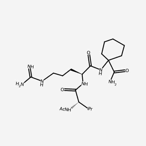 CC(=O)N[C@H](C(=O)N[C@@H](CCCNC(=N)N)C(=O)NC1(C(N)=O)CCCCC1)C(C)C